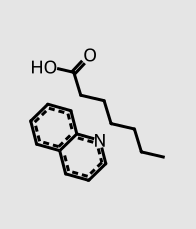 CCCCCCC(=O)O.c1ccc2ncccc2c1